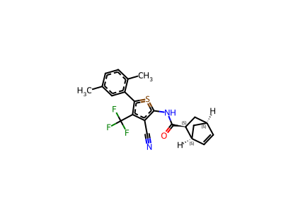 Cc1ccc(C)c(-c2sc(NC(=O)[C@H]3C[C@H]4C=C[C@@H]3C4)c(C#N)c2C(F)(F)F)c1